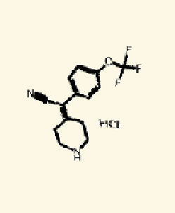 Cl.N#CC(=C1CCNCC1)c1ccc(OC(F)(F)F)cc1